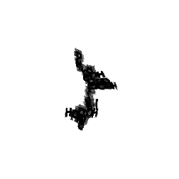 O=C(OCC1CCN(Cc2ccccc2)CC1)C(O)(c1ccccc1)c1ccc(OCCCCCNC[C@H](O)c2ccc(O)c3[nH]c(=O)ccc23)cc1.O=CO.O=CO